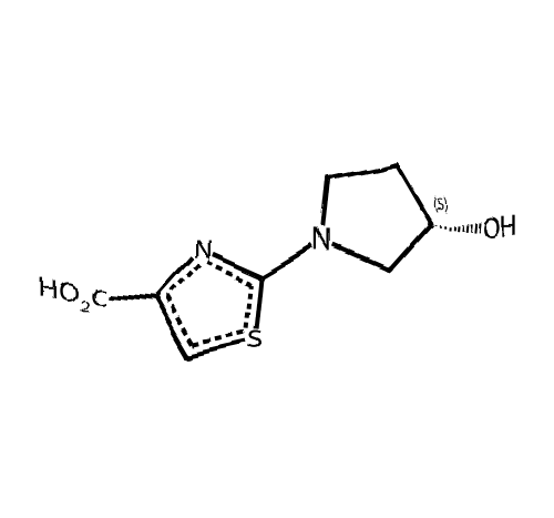 O=C(O)c1csc(N2CC[C@H](O)C2)n1